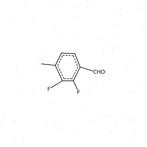 Cc1ccc([C]=O)c(F)c1F